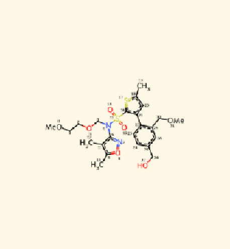 COCCOCN(c1noc(C)c1C)S(=O)(=O)c1sc(C)cc1-c1ccc(CO)cc1COC